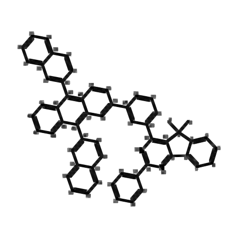 CC1(C)c2ccccc2-c2nc(-c3ccccc3)nc(-c3cccc(-c4ccc5c(-c6ccc7ccccc7c6)c6ccccc6c(-c6ccc7ccccc7c6)c5c4)c3)c21